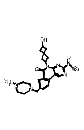 CCCCNc1ncc2c3ccc(CN4CCN(C)CC4)cc3c(=O)n(C3CC4(CC(O)C4)C3)c2n1